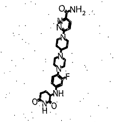 NC(=O)c1ccc(N2CCC(N3CCN(c4ccc(NC5CCC(=O)NC5=O)cc4F)CC3)CC2)nn1